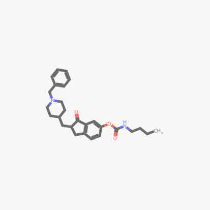 CCCCNC(=O)Oc1ccc2c(c1)C(=O)C(CC1CCN(Cc3ccccc3)CC1)C2